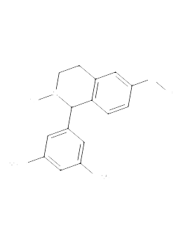 CCOc1ccc2c(c1)CCN(C(C)=O)C2c1cc(OC)cc(OC)c1